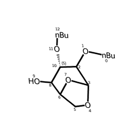 CCCCOC1C2OCC(O2)C(O)[C@@H]1OCCCC